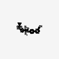 C#Cc1cncc(-c2ccc(NC(=O)C(C)(C)c3csc(NS(=O)(=O)C4CC4)n3)cc2)n1